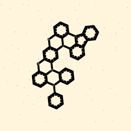 c1ccc(N2c3ccccc3B3c4cc5c(cc4Oc4cccc2c43)Oc2cccc3c2B5c2cccc4c5ccccc5n-3c24)cc1